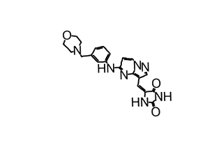 O=C1NC(=O)C(=Cc2cnn3ccc(Nc4cccc(CN5CCOCC5)c4)nc23)N1